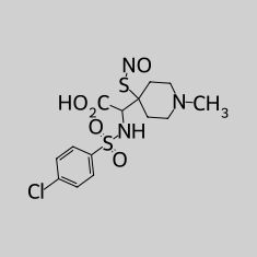 CN1CCC(SN=O)(C(NS(=O)(=O)c2ccc(Cl)cc2)C(=O)O)CC1